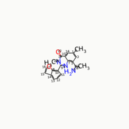 Cc1cc([C@@H](C)N)c2nc(-c3cccc4ccoc34)n(C)c(=O)c2c1